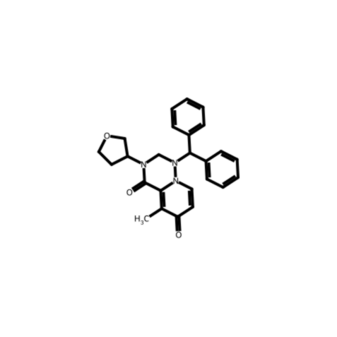 Cc1c2n(ccc1=O)N(C(c1ccccc1)c1ccccc1)CN(C1CCOC1)C2=O